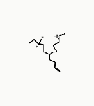 C=CCCC(CCC(F)(F)CC)OCCNC